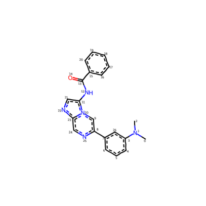 CN(C)c1cccc(-c2cn3c(NC(=O)c4ccccc4)cnc3cn2)c1